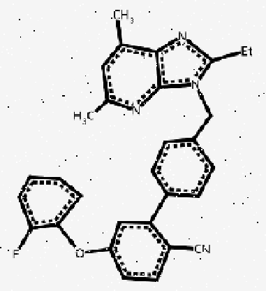 CCc1nc2c(C)cc(C)nc2n1Cc1ccc(-c2cc(Oc3ccccc3F)ccc2C#N)cc1